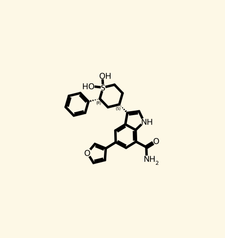 NC(=O)c1cc(-c2ccoc2)cc2c([C@H]3CCS(O)(O)[C@@H](c4ccccc4)C3)c[nH]c12